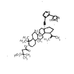 C=C(C)[C@@H]1CC[C@]2(C#Cc3ccsc3-c3nnn[nH]3)CC[C@]3(C)C(CCC4[C@@]5(C)CC[C@H](OC(=O)CC(C)(C)C(=O)O)C(C)(C)C5CC[C@]43C)C12